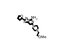 COCCN1CCN(c2cc3nc(-c4ccco4)nn3c(N)n2)CC1